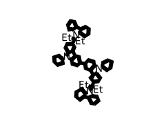 CCC(CC)(c1ccc2c(c1)c1cc(-c3ccc4c(c3)c3cc(C(CC)(CC)n5c6ccccc6c6ccccc65)ccc3n4-c3ccccc3)ccc1n2-c1ccccc1)n1c2ccccc2c2ccccc21